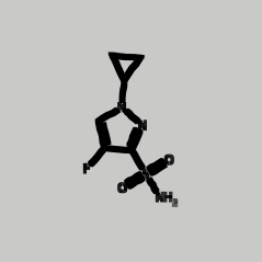 NS(=O)(=O)c1nn(C2CC2)cc1F